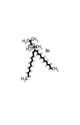 C=C(C)C(=O)O[N+](C)(C)C(CCCCCCCCCCC)CCCCCCCCCCC.[Br-]